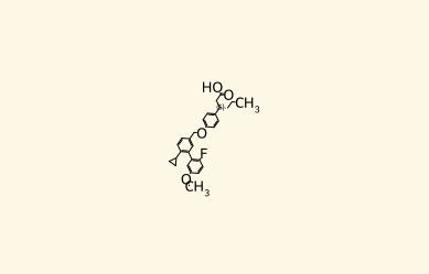 CCC[C@@H](CC(=O)O)c1ccc(OCc2ccc(C3CC3)c(-c3cc(OC)ccc3F)c2)cc1